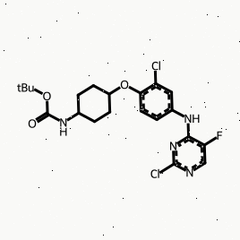 CC(C)(C)OC(=O)NC1CCC(Oc2ccc(Nc3nc(Cl)ncc3F)cc2Cl)CC1